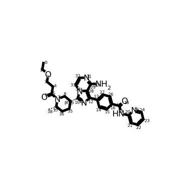 CCOCCC(=O)N1C[C@H](c2nc(-c3ccc(C(=O)Nc4ccccn4)cc3)c3c(N)nccn23)CC[C@@H]1C